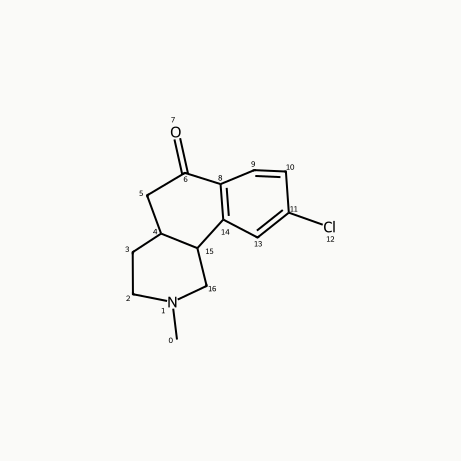 CN1CCC2CC(=O)c3ccc(Cl)cc3C2C1